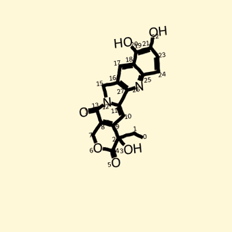 CCC1(O)C(=O)OCc2c1cc1n(c2=O)Cc2cc3c(O)c(O)ccc3nc2-1